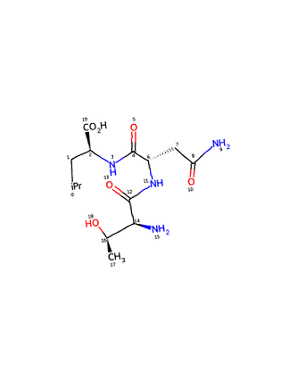 CC(C)C[C@H](NC(=O)[C@H](CC(N)=O)NC(=O)[C@@H](N)[C@@H](C)O)C(=O)O